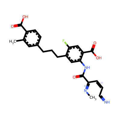 C/N=C(\C=C/C=N)C(=O)Nc1cc(CCCc2ccc(C(=O)O)c(C)c2)c(F)cc1C(=O)O